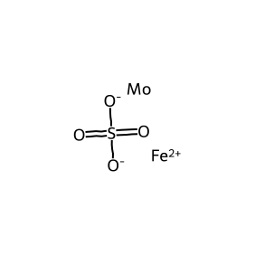 O=S(=O)([O-])[O-].[Fe+2].[Mo]